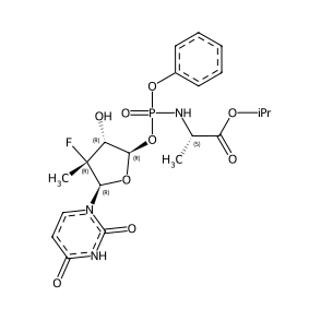 CC(C)OC(=O)[C@H](C)NP(=O)(Oc1ccccc1)O[C@H]1O[C@@H](n2ccc(=O)[nH]c2=O)[C@](C)(F)[C@@H]1O